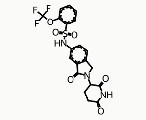 O=C1CCC(N2Cc3ccc(NS(=O)(=O)c4ccccc4OC(F)(F)F)cc3C2=O)C(=O)N1